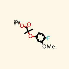 COc1cc(OC(C)(C)C(=O)OC(C)C)ccc1F